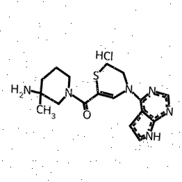 CC1(N)CCCN(C(=O)C2=CN(c3ncnc4[nH]ccc34)CCS2)C1.Cl